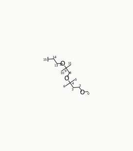 COCCC(C)(C)OCC(C)(C)OCCI